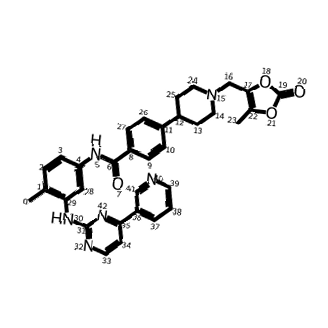 Cc1ccc(NC(=O)c2ccc(C3CCN(Cc4oc(=O)oc4C)CC3)cc2)cc1Nc1nccc(-c2cccnc2)n1